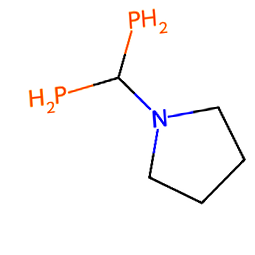 PC(P)N1CCCC1